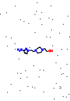 Nc1ccn(CCN2CCN(CCO)CC2)n1